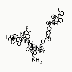 C=Cc1ccccc1CN(C(=O)CCNC(=O)C1CCC2(CC1)CCN(C(=O)CCOCCC(=O)N[C@H](C(=O)N[C@@H](CCCCN)C(=O)NCC(=O)N[C@H]1CCc3c(C)c(F)cc4nc5c(c1c34)Cn1c-5cc3c(c1=O)COC(=O)[C@]3(O)CC)C(C)C)CC2)c1ccccc1CC